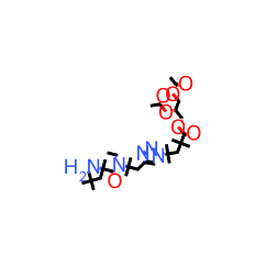 CCN(C(=O)C(C)(N)CC(C)(C)C)C(C)(C)Cc1cn(C(C)(C)CC(C)(C)C(=O)OCC(COC(C)=O)OC(C)=O)nn1